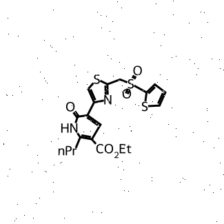 CCCc1[nH]c(=O)c(-c2csc(CS(=O)(=O)c3cccs3)n2)cc1C(=O)OCC